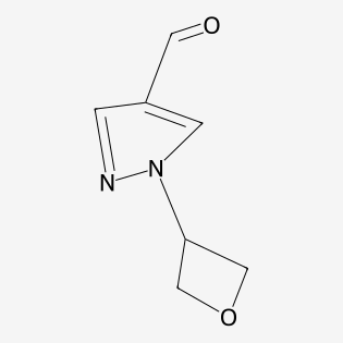 O=Cc1cnn(C2COC2)c1